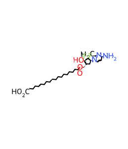 C=C1N=C(N)C=CN1[C@@H]1C[C@H](COC(=O)CCCCCCCCCCCCCCCCCC(=O)O)C(O)C1(F)F